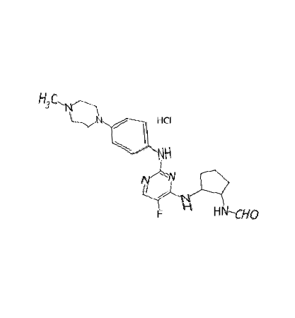 CN1CCN(c2ccc(Nc3ncc(F)c(NC4CCCC4NC=O)n3)cc2)CC1.Cl